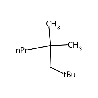 [CH2]C(C)(C)CC(C)(C)C[CH]C